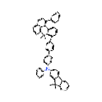 CC1(C)c2ccccc2-c2ccc(N(c3ccccc3)c3ccc(-c4ccc(-c5cccc6c5C(C)(C)c5cccc7ccc(-c8ccccc8)c-6c57)cc4)cc3)cc21